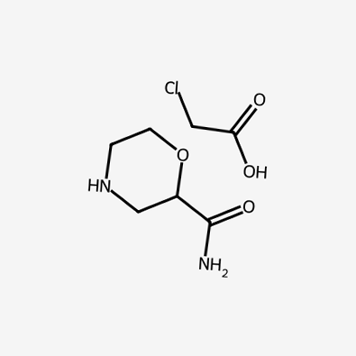 NC(=O)C1CNCCO1.O=C(O)CCl